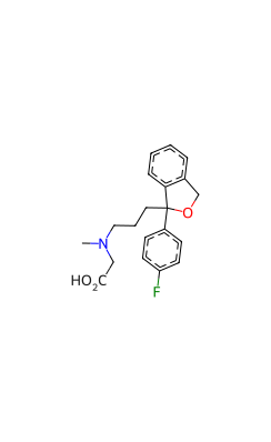 CN(CCCC1(c2ccc(F)cc2)OCc2ccccc21)CC(=O)O